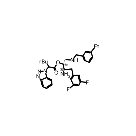 CCCCC(C(=O)O[C@H](CNCc1cccc(CC)c1)[C@@H](N)Cc1cc(F)cc(F)c1)n1nnc2ccccc21